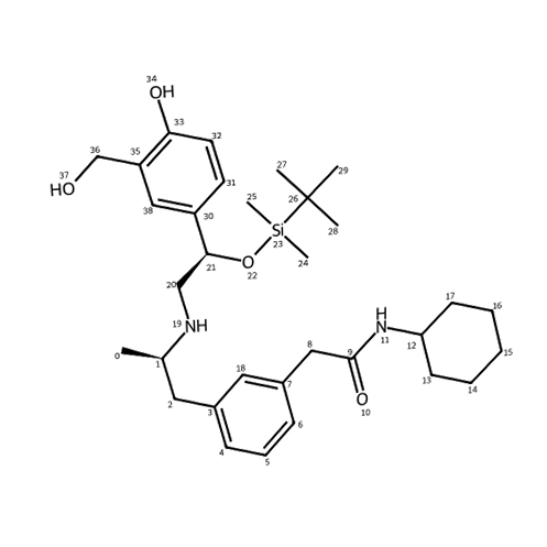 C[C@H](Cc1cccc(CC(=O)NC2CCCCC2)c1)NC[C@H](O[Si](C)(C)C(C)(C)C)c1ccc(O)c(CO)c1